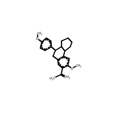 C=C(C)c1cc2c(cc1OC)C1CCCCC1C(c1ccc(OC)cc1)C2